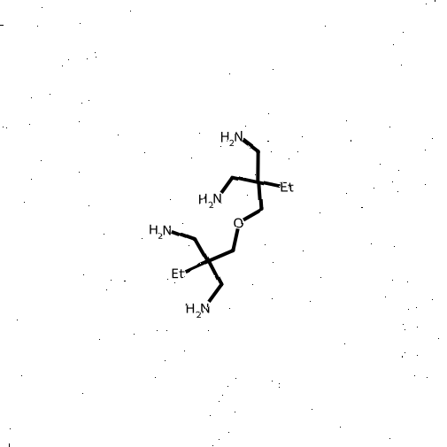 CCC(CN)(CN)COCC(CC)(CN)CN